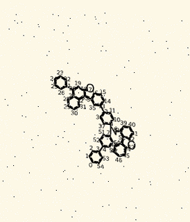 c1ccc(-c2ccc(N(c3ccc(-c4ccc5oc6cc(-c7ccccc7)c7ccccc7c6c5c4)cc3)c3cccc4oc5ccccc5c34)cc2)cc1